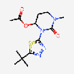 CC(=O)OC1CCN(C)C(=O)N1c1nnc(C(C)(C)C)s1